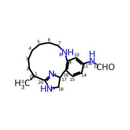 C[C@H]1CCCCCCNc2cc(NC=O)ccc2C2CNC1=N2